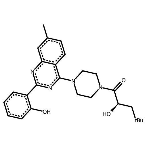 Cc1ccc2c(N3CCN(C(=O)[C@H](O)CC(C)(C)C)CC3)nc(-c3ccccc3O)nc2c1